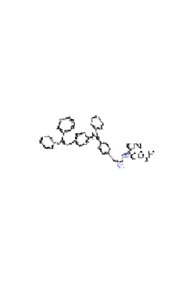 N#C/C(=C/C=C\c1ccc(N(c2ccccc2)c2ccc(C=C(c3ccccc3)c3ccccc3)cc2)cc1)C(=O)O